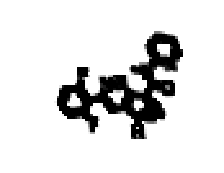 C=C1[C@@H]2CC[C@@]1(C(=O)N(C)c1ccccn1)c1nnc(-c3c(F)cccc3F)cc12